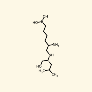 CC(C)C[C@@H](CO)NCC(N)CCCCB(O)O